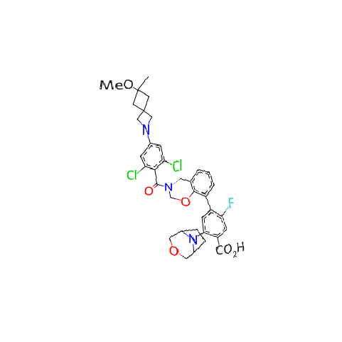 COC1(C)CC2(CN(c3cc(Cl)c(C(=O)N4COc5c(cccc5-c5cc(N6C7CCC6COC7)c(C(=O)O)cc5F)C4)c(Cl)c3)C2)C1